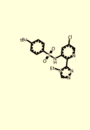 CCn1cnnc1-c1ncc(Cl)cc1NS(=O)(=O)c1ccc(C(C)(C)C)cc1